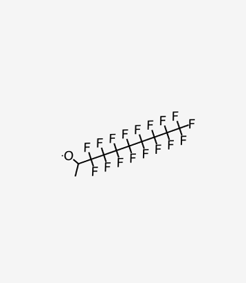 CC([O])C(F)(F)C(F)(F)C(F)(F)C(F)(F)C(F)(F)C(F)(F)C(F)(F)C(F)(F)F